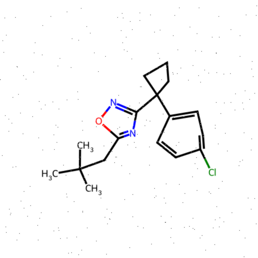 CC(C)(C)Cc1nc(C2(c3ccc(Cl)cc3)CCC2)no1